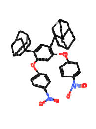 O=[N+]([O-])c1ccc(Oc2cc(Oc3ccc([N+](=O)[O-])cc3)c(C34CC5CC(CC(C5)C3)C4)cc2C23CC4CC(CC(C4)C2)C3)cc1